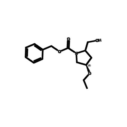 CCO[C@@H]1CC(CO)N(C(=O)OCc2ccccc2)C1